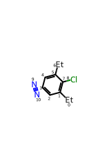 CCc1cccc(CC)c1Cl.N#N